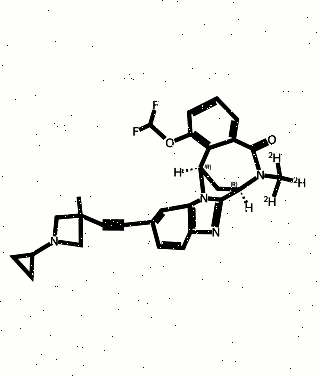 [2H]C([2H])([2H])N1C(=O)c2cccc(OC(F)F)c2[C@H]2C[C@@H]1c1nc3ccc(C#CC4(C)CN(C5CC5)C4)cc3n12